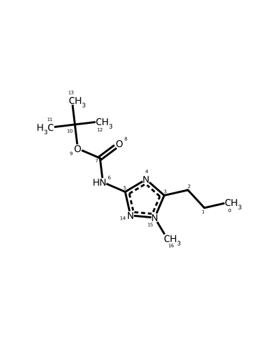 CCCc1nc(NC(=O)OC(C)(C)C)nn1C